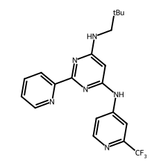 CC(C)(C)CNc1cc(Nc2ccnc(C(F)(F)F)c2)nc(-c2ccccn2)n1